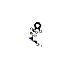 C=C/N=C(/F)NNS(=O)(=O)c1ccccc1Cl